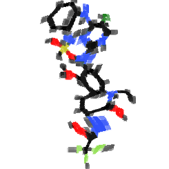 CCN1C(=O)C(NC(=O)C(F)(F)F)CCc2c1ccc(Nc1ncc(Cl)c(N[C@@H]3CCCC[C@H]3NS(C)(=O)=O)n1)c2OC